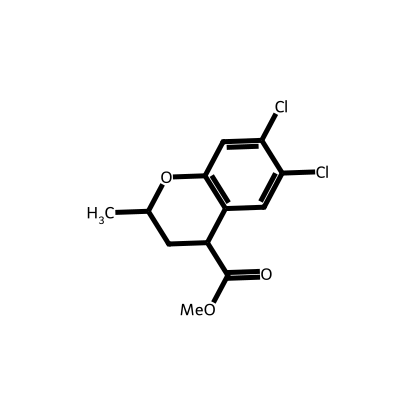 COC(=O)C1CC(C)Oc2cc(Cl)c(Cl)cc21